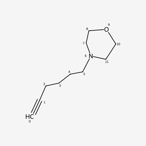 C#CCCCCN1CCOCC1